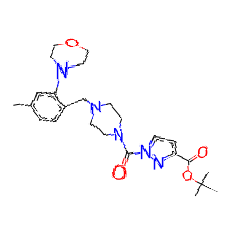 Cc1ccc(CN2CCN(C(=O)n3ccc(C(=O)OC(C)(C)C)n3)CC2)c(N2CCOCC2)c1